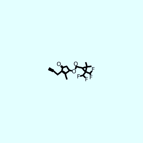 C#CCC1=C(C)C(OC(=O)C2C(C)(C)C2(C(F)F)C(F)F)CC1=O